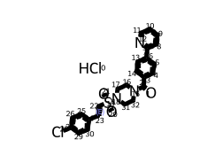 Cl.O=C(c1ccc(-c2ccccn2)cc1)N1CCN(S(=O)(=O)/C=C/c2ccc(Cl)cc2)CC1